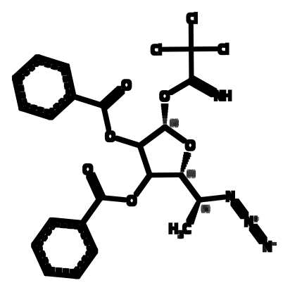 C[C@H](N=[N+]=[N-])[C@H]1O[C@@H](OC(=N)C(Cl)(Cl)Cl)C(OC(=O)c2ccccc2)C1OC(=O)c1ccccc1